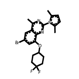 Cc1nc(-n2c(C)ccc2C)nc2c(OC3CCC(F)(F)CC3)cc(Br)cc12